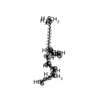 CC(C)(C)OC(=O)CCCCCCCCCCCCCCCCC(=O)N[C@@H](CCC(=O)NCCCS(=O)(=O)NCCCS(=O)(=O)NCC[N+](C)(C)CCOCCOCCC(=O)O)C(=O)OC(C)(C)C.O=C([O-])O